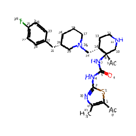 CC(=O)c1sc(NC(=O)N[C@@]2(C(C)=O)CNCC[C@H]2CN2CCC[C@@H](Cc3ccc(F)cc3)C2)nc1C